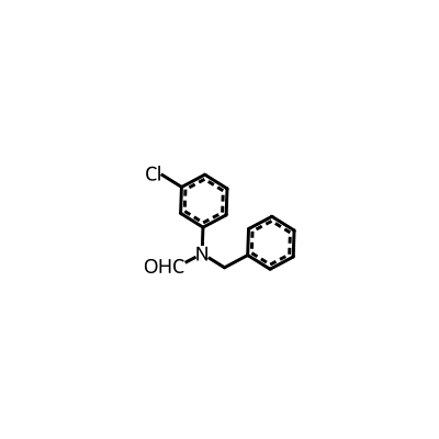 O=CN(Cc1ccccc1)c1cccc(Cl)c1